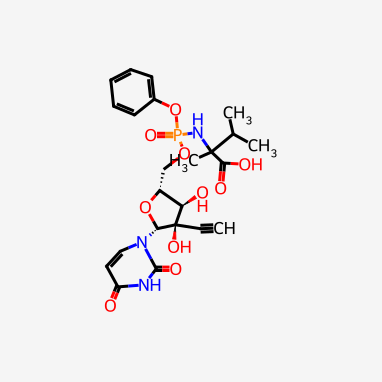 C#C[C@@]1(O)[C@H](O)[C@@H](COP(=O)(NC(C)(C(=O)O)C(C)C)Oc2ccccc2)O[C@H]1n1ccc(=O)[nH]c1=O